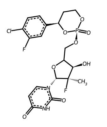 C[C@@]1(F)[C@H](O)C(CO[P@]2(=O)OCC[C@H](c3ccc(Cl)c(F)c3)O2)O[C@H]1n1ccc(=O)[nH]c1=O